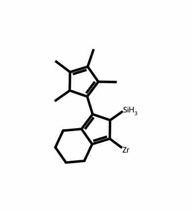 CC1=C(C)C(C)C(C2=C3CCCCC3=[C]([Zr])C2[SiH3])=C1C